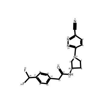 N#Cc1ccc(N2CC[C@@H](NC(=O)Cc3ccc(C(F)F)cc3)C2)nn1